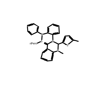 C=C1c2ccccc2N(C)C(c2ccc(C)s2)N1c1ccccc1B(SCCCCC)c1ccccc1